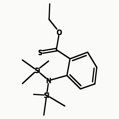 CCOC(=S)c1ccccc1N([Si](C)(C)C)[Si](C)(C)C